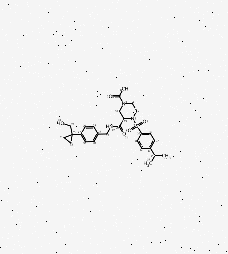 CC(=O)N1CCN(S(=O)(=O)c2ccc(C(C)C)cc2)[C@@H](C(=O)NCc2ccc(C3(CO)CC3)cc2)C1